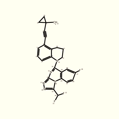 CC1(C#Cc2cccc3c2CCCN3c2nc3nnc(C(F)F)n3c3ccc(F)cc23)CC1